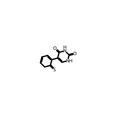 O=c1[nH]cc(C2=CC=CCC2=S)c(=O)[nH]1